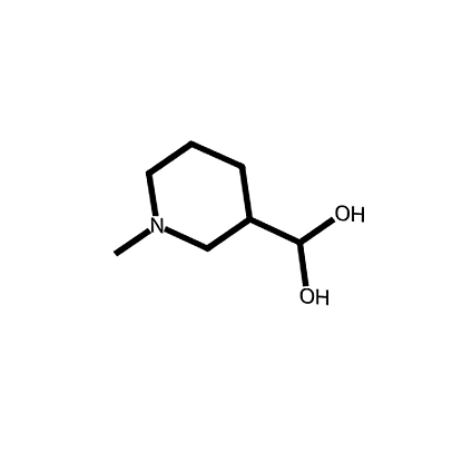 CN1CCCC(C(O)O)C1